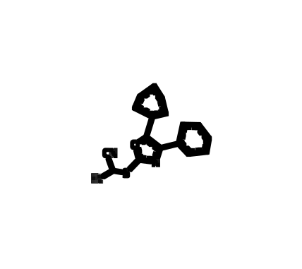 CCC(C#N)Sc1nc(-c2ccccc2)c(-c2ccccc2)o1